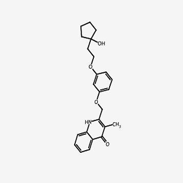 Cc1c(COc2cccc(OCCC3(O)CCCC3)c2)[nH]c2ccccc2c1=O